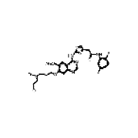 CCN(CCO)CCCOc1cc2ncnc(Nc3ncc(CC(=O)Nc4cc(F)ccc4F)s3)c2cc1OC